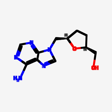 Nc1ncnc2c1ncn2C[C@H]1CC[C@@H](CO)O1